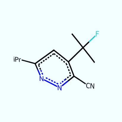 CC(C)c1cc(C(C)(C)F)c(C#N)nn1